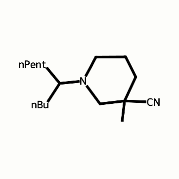 CCCCCC(CCCC)N1CCCC(C)(C#N)C1